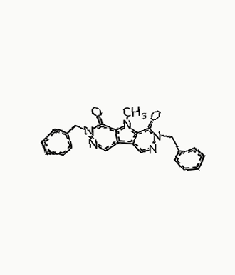 Cn1c2c(=O)n(Cc3ccccc3)ncc2c2cnn(Cc3ccccc3)c(=O)c21